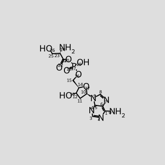 Nc1ncnc2c1ncn2[C@H]1CC(O)[C@@H](COP(=O)(O)OC(=O)[C@@H](N)CO)O1